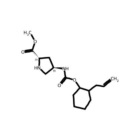 C=CCC1CCCCC1OC(=O)N[C@H]1CN[C@H](C(=O)OC)C1